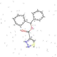 O=C(OC(c1ccccc1)c1ccccc1)c1csnn1